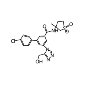 CC1(NC(=O)c2cc(-c3ccc(Cl)cc3)cc(-n3cnnc3CO)c2)CCS(=O)(=O)C1